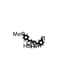 Br.COc1ccc(C(C)CNCC(O)c2cccc(Cl)c2)cc1